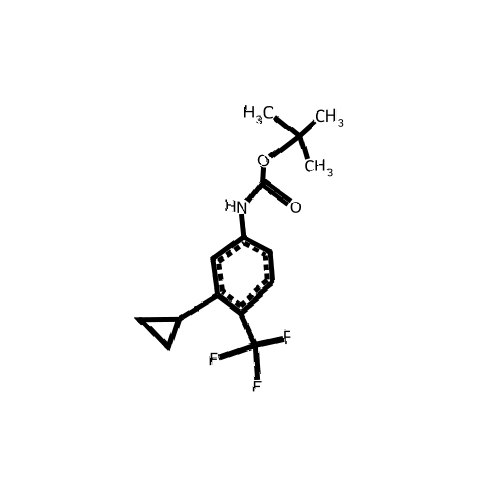 CC(C)(C)OC(=O)Nc1ccc(C(F)(F)F)c(C2CC2)c1